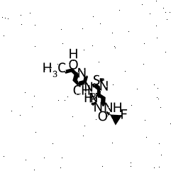 CC[C@H](O)c1cc(C)c(Nc2scnc2-c2cc(NC(=O)[C@H]3C[C@H]3F)ncn2)cn1